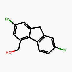 OCc1cc(Br)cc2c1-c1ccc(Br)cc1C2